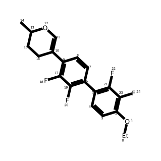 CCOc1ccc(-c2ccc(C3=COC(C)CC3)c(F)c2F)c(F)c1F